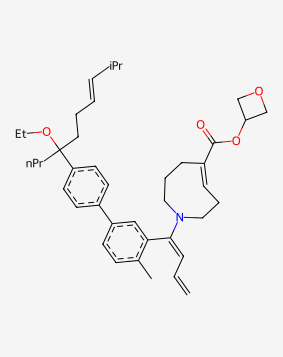 C=C/C=C(\c1cc(-c2ccc(C(CCC)(CC/C=C/C(C)C)OCC)cc2)ccc1C)N1CC/C=C(\C(=O)OC2COC2)CCC1